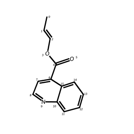 CC=COC(=O)c1ccnc2ccccc12